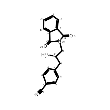 N#Cc1ccc(C[C@@H](N)CN2C(=O)c3ccccc3C2=O)cc1